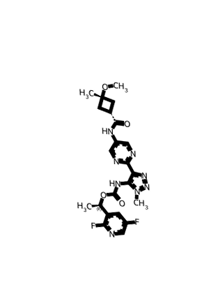 CO[C@]1(C)C[C@H](C(=O)Nc2cnc(-c3nnn(C)c3NC(=O)O[C@H](C)c3cc(F)cnc3F)nc2)C1